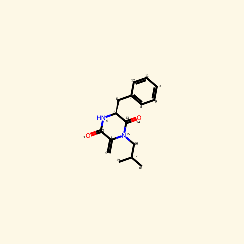 C=C1C(=O)N[C@@H](Cc2ccccc2)C(=O)N1CC(C)C